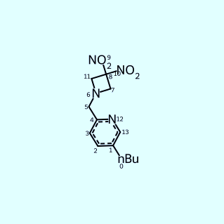 CCCCc1ccc(CN2CC([N+](=O)[O-])([N+](=O)[O-])C2)nc1